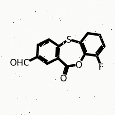 O=Cc1ccc2c(c1)C(=O)OC1=C(CCC=C1F)S2